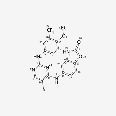 CCOc1ccc(Nc2ncc(C)c(Nc3ccc4oc(=O)[nH]c4c3)n2)cc1C(F)(F)F